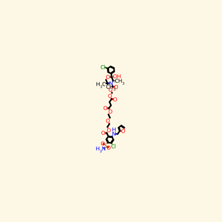 C[C@@H]1N(C(=O)OCOC(=O)CCC(=O)OCCOCCOC(=O)c2cc(S(N)(=O)=O)c(Cl)cc2NCc2ccco2)C(C)(C)CO[C@@]1(O)c1cccc(Cl)c1